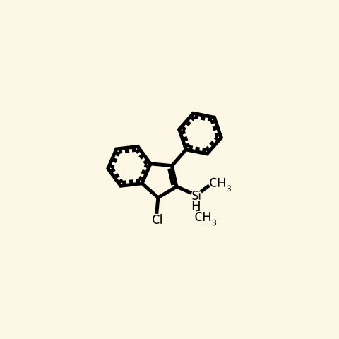 C[SiH](C)C1=C(c2ccccc2)c2ccccc2C1Cl